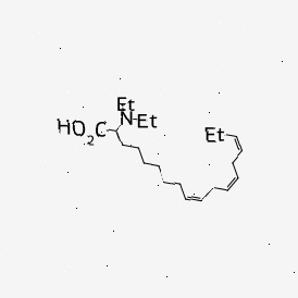 CC/C=C\C/C=C\C/C=C\CCCCCCC(C(=O)O)N(CC)CC